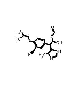 Cc1nc[nH]c1C(c1ccc(OCC(C)C)c(C#N)c1)C(O)OC=O